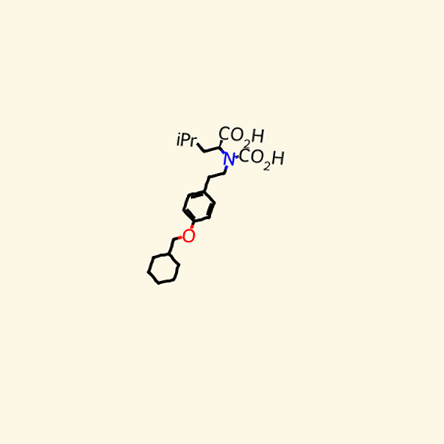 CC(C)C[C@@H](C(=O)O)N(CCc1ccc(OCC2CCCCC2)cc1)C(=O)O